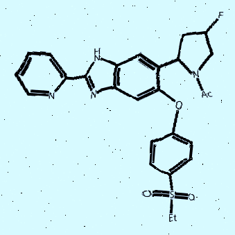 CCS(=O)(=O)c1ccc(Oc2cc3nc(-c4ccccn4)[nH]c3cc2C2CC(F)CN2C(C)=O)cc1